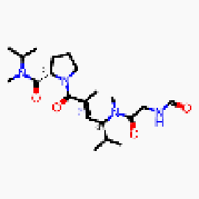 C/C(=C\[C@H](C(C)C)N(C)C(=O)CNC=O)C(=O)N1CCC[C@H]1C(=O)N(C)C(C)C